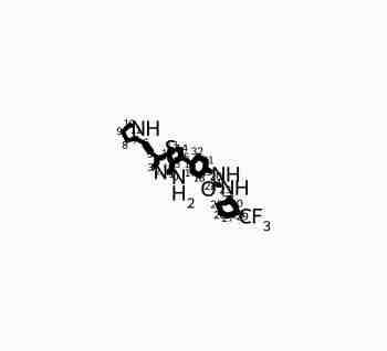 Nc1ncc(C#CC2CCCN2)c2scc(-c3ccc(NC(=O)Nc4cccc(C(F)(F)F)c4)cc3)c12